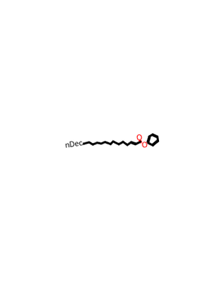 CCCCCCCCCCCCCCCCCCCCCC=CC(=O)Oc1ccccc1